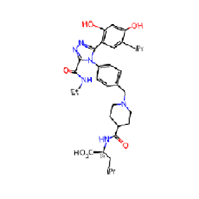 CCNC(=O)c1nnc(-c2cc(C(C)C)c(O)cc2O)n1-c1ccc(CN2CCC(C(=O)N[C@@H](CC(C)C)C(=O)O)CC2)cc1